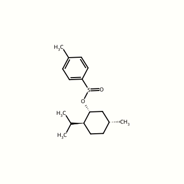 Cc1ccc(S(=O)O[C@@H]2C[C@H](C)CC[C@H]2C(C)C)cc1